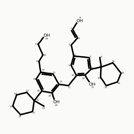 CC1(c2cc(CC=CO)cc(Cc3cc(CCCO)cc(C4(C)CCCCC4)c3O)c2O)CCCCC1